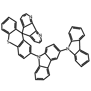 c1ccc2c(c1)Sc1ccc(-n3c4ccccc4c4cc(-n5c6ccccc6c6ccccc65)ccc43)cc1C21c2cccnc2-c2ncccc21